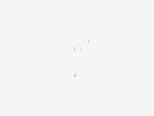 CCCCCCCCCc1ccc(CC[C@H]2CC[C@H](CCCCCCCCC)CC2)cc1C